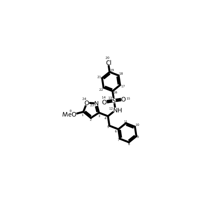 COc1cc(C(Cc2ccccc2)NS(=O)(=O)c2ccc(Cl)cc2)no1